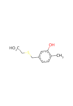 Cc1ccc(CSCC(=O)O)cc1O